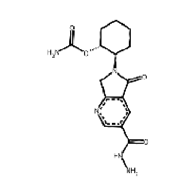 NNC(=O)c1cnc2c(c1)C(=O)N([C@@H]1CCCC[C@H]1OC(N)=O)C2